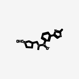 Cc1nc(-c2cccc([S+]([O-])N(C)CC3CCN(C=O)C3)c2)cs1